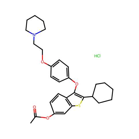 CC(=O)Oc1ccc2c(Oc3ccc(OCCN4CCCCC4)cc3)c(C3CCCCC3)sc2c1.Cl